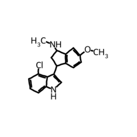 CNC1CC(c2c[nH]c3cccc(Cl)c23)c2ccc(OC)cc21